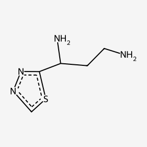 NCCC(N)c1nncs1